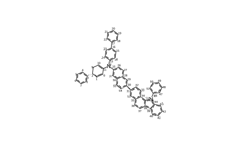 C1=C[C@H](c2ccccc2)CC=C1N(c1ccc(-c2ccccc2)cc1)c1ccc2cc(-c3ccc4c(ccc5c6ccccc6n(-c6ccccc6)c45)c3)ccc2c1